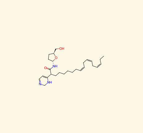 CC/C=C\C/C=C\C/C=C\CCCCCCC(C(=O)N[C@@H]1CC[C@@H](CO)O1)C1=CC=NCN1